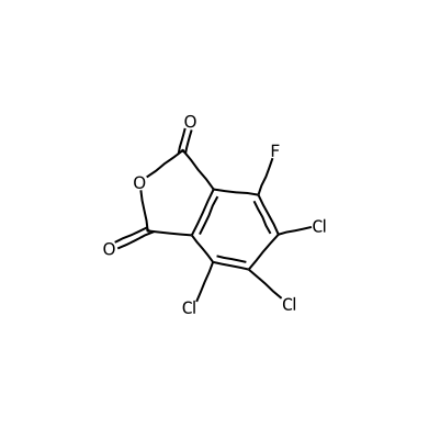 O=C1OC(=O)c2c(Cl)c(Cl)c(Cl)c(F)c21